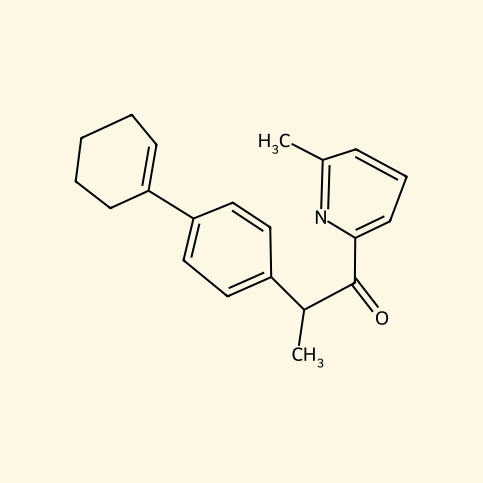 Cc1cccc(C(=O)C(C)c2ccc(C3=CCCCC3)cc2)n1